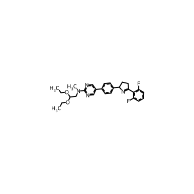 CCOC(CN(C)c1ncc(-c2ccc(C3CCC(c4c(F)cccc4F)=N3)cc2)cn1)OCC